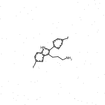 NCCCc1c(-c2ccc(F)cc2)[nH]c2ccc(F)cc12